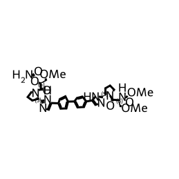 COC[C@H](NC(=O)OC)C(=O)N1CCC[C@H]1c1ncc(-c2ccc(-c3ccc(-c4cnc([C@@H]5CCCN5C(=O)[C@H](COC)OC(N)=O)[nH]4)cc3)cc2)[nH]1